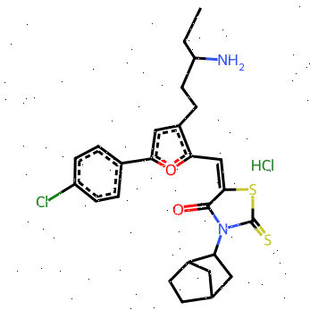 CCC(N)CCc1cc(-c2ccc(Cl)cc2)oc1/C=C1/SC(=S)N(C2CC3CCC2C3)C1=O.Cl